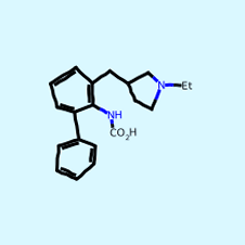 CCN1CCC(Cc2cccc(-c3ccccc3)c2NC(=O)O)C1